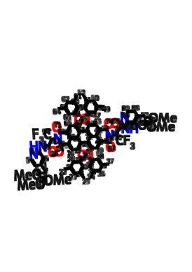 CO[Si](Cc1ccnc(NC(=O)C(N2C(=O)c3cc(Oc4cc(C)cc(C)c4)c4c5c(Oc6cc(C)cc(C)c6)cc6c7c(cc(Oc8cc(C)cc(C)c8)c(c8c(Oc9cc(C)cc(C)c9)cc(c3c48)C2=O)c75)C(=O)N(C(C(=O)Nc2cc(C[Si](OC)(OC)OC)ccn2)C(F)(F)F)C6=O)C(F)(F)F)c1)(OC)OC